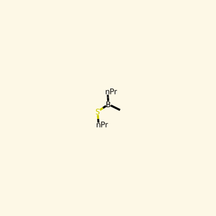 CCCSB(C)CCC